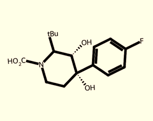 CC(C)(C)C1[C@H](O)[C@@](O)(c2ccc(F)cc2)CCN1C(=O)O